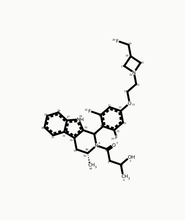 CC(O)CC(=O)N1C(c2c(F)cc(OCCN3CC(CF)C3)cc2F)c2[nH]c3ccccc3c2C[C@H]1C